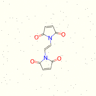 O=C1C=CC(=O)N1C=CN1C(=O)C=CC1=O